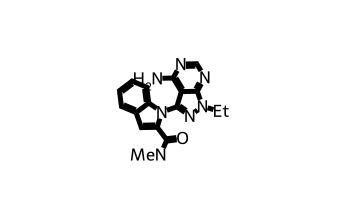 CCn1nc(-n2c(C(=O)NC)cc3ccccc32)c2c(N)ncnc21